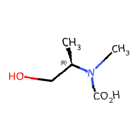 C[C@H](CO)N(C)C(=O)O